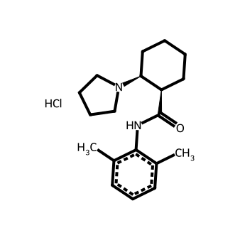 Cc1cccc(C)c1NC(=O)[C@@H]1CCCC[C@@H]1N1CCCC1.Cl